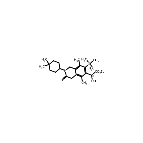 CCOC(=O)[C@@H](O)c1c(C)c2c(c(C)c1[Si](C)(C)C)CN(C1CCC(C)(C)CC1)C(=O)C2